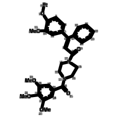 CCOc1ccc(C(=CC(=O)N2CCN(C(=O)c3cc(OC)c(OC)c(OC)c3)CC2)c2ccccc2)cc1OC